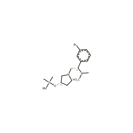 CN(C(=O)O)[C@H](CN1CC[C@H](O[Si](C)(C)C(C)(C)C)C1)c1cccc(Br)c1